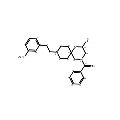 CC(=O)Nc1cccc(CCN2CCC3(CC2)CN(C(=O)c2ccccc2)CC(C)O3)c1